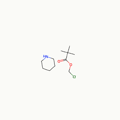 C1CCNCC1.CC(C)(C)C(=O)OCCl